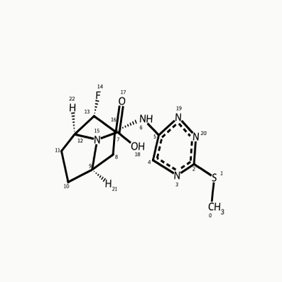 CSc1ncc(N[C@@H]2C[C@H]3CC[C@@H]([C@@H]2F)N3C(=O)O)nn1